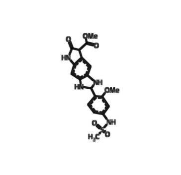 COC(=O)C1C(=O)Nc2cc3c(cc21)NC(c1ccc(NS(C)(=O)=O)cc1OC)N3